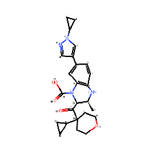 C[C@@H]1Nc2ccc(-c3cnn(C4CC4)c3)cc2N(C(=O)O)C1C(=O)C1(C2CC2)CCOCC1